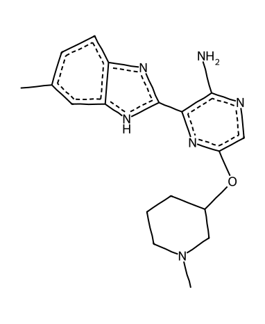 Cc1ccc2nc(-c3nc(OC4CCCN(C)C4)cnc3N)[nH]c2c1